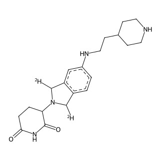 [2H]C1c2ccc(NCCC3CCNCC3)cc2C([2H])N1C1CCC(=O)NC1=O